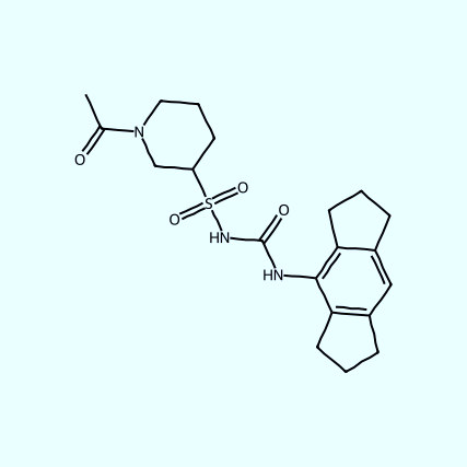 CC(=O)N1CCCC(S(=O)(=O)NC(=O)Nc2c3c(cc4c2CCC4)CCC3)C1